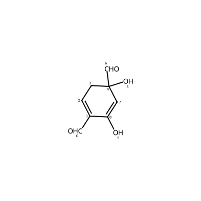 O=CC1=CCC(O)(C=O)C=C1O